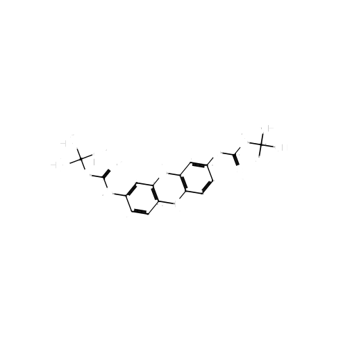 CC(C)(C)OC(=O)Oc1ccc2c(c1)Oc1cc(OC(=O)OC(C)(C)C)ccc1[I+]2